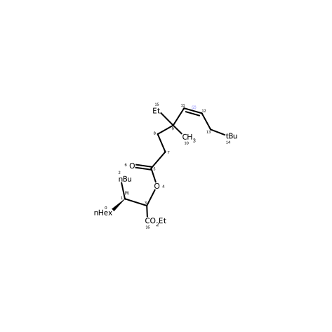 CCCCCC[C@@H](CCCC)C(OC(=O)CCC(C)(/C=C\CC(C)(C)C)CC)C(=O)OCC